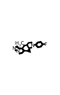 CC(c1c(C2CC2)ccn2cncc12)C1CCN(c2ccc(F)cc2)CC1